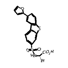 CC(C)[C@H](NS(=O)(=O)c1ccc2c(c1)sc1ccc(-c3ccco3)cc12)C(=O)O